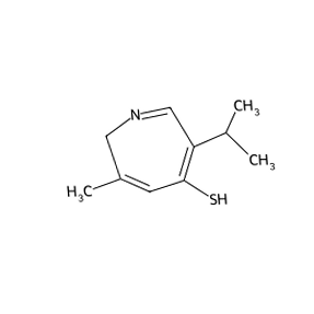 CC1=CC(S)=C(C(C)C)C=NC1